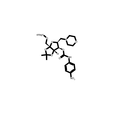 CCCCCCCOC[C@@]12O[C@@H](CN3CCOCC3)[C@@H](OC(=O)Nc3ccc([N+](=O)[O-])cc3)[C@@H]1OC(C)(C)O2